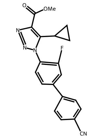 COC(=O)c1nnn(-c2ccc(-c3ccc(C#N)cc3)cc2F)c1C1CC1